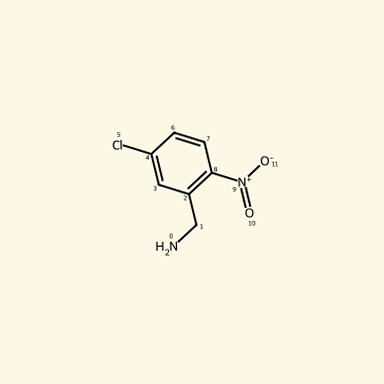 NCc1cc(Cl)ccc1[N+](=O)[O-]